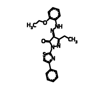 CCOc1ccccc1N/N=C1/C(=O)N(c2nc(-c3ccccc3)cs2)N=C1CC